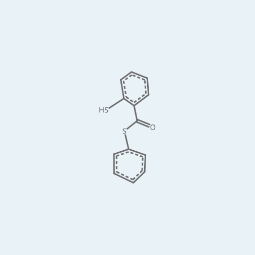 O=C(Sc1ccccc1)c1ccccc1S